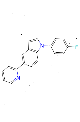 Fc1ccc(-n2ccc3cc(-c4ccccn4)ccc32)cc1